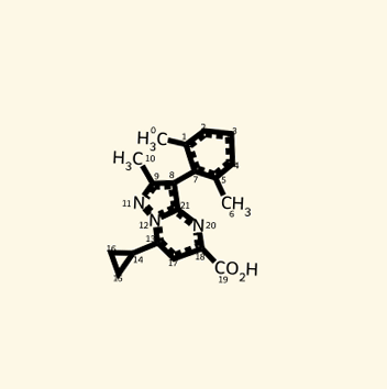 Cc1cccc(C)c1-c1c(C)nn2c(C3CC3)cc(C(=O)O)nc12